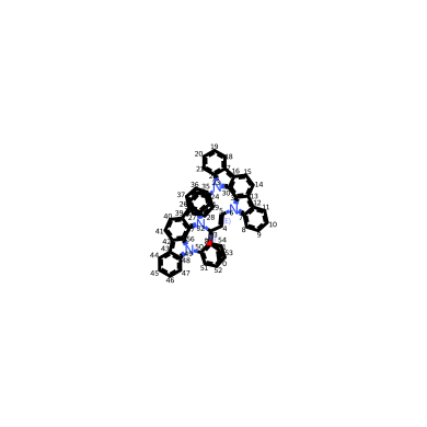 C=C/C=C(\C=C\n1c2ccccc2c2ccc3c4ccccc4n(-c4ccccc4)c3c21)n1c2ccccc2c2ccc3c4ccccc4n(-c4ccccc4)c3c21